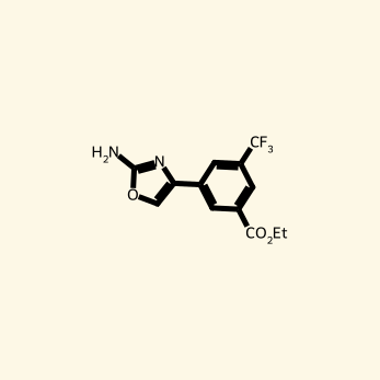 CCOC(=O)c1cc(-c2coc(N)n2)cc(C(F)(F)F)c1